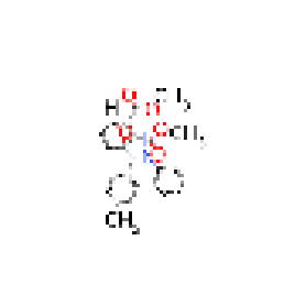 COC(=O)C1=C(C(=O)OC)C2([C@H](Nc3ccccc3)c3ccc(C)cc3)C=C[C@@H]1O2